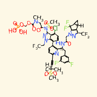 CN(CC(=O)N(c1nn(CC(F)(F)F)c2c(-c3ccc(C#CC(C)(C)S(C)(=O)=O)nc3[C@H](Cc3cc(F)cc(F)c3)NC(=O)Cn3nc(C(F)(F)F)c4c3C(F)(F)C3C[C@H]43)ccc(Cl)c12)S(C)(=O)=O)C(=O)OCOP(=O)(O)O